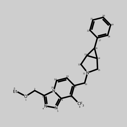 CCOCc1nnc2c(C(F)(F)F)c(CN3CC4C(C3)C4c3ccccc3)ccn12